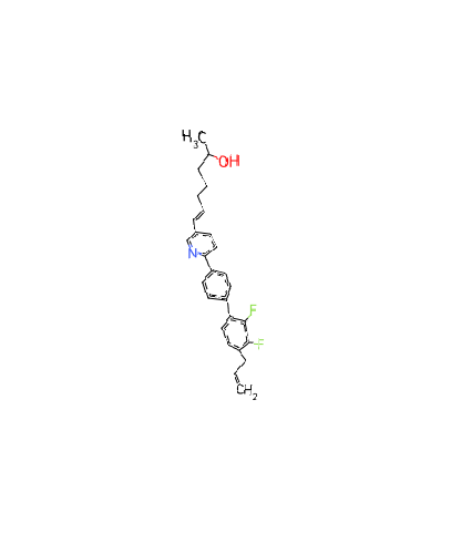 C=CCc1ccc(-c2ccc(-c3ccc(C=CCCCC(C)O)cn3)cc2)c(F)c1F